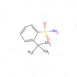 CC(C)(C)c1ccccc1S(N)(=O)=O